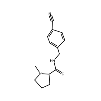 CN1CCCC1C(=O)NCc1ccc(C#N)cc1